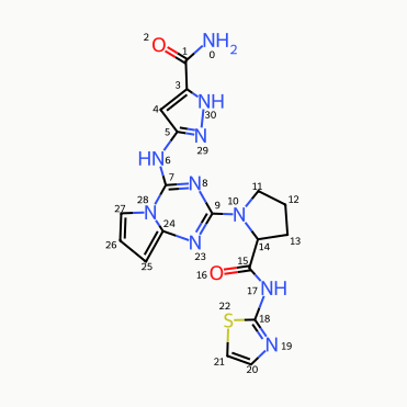 NC(=O)c1cc(Nc2nc(N3CCCC3C(=O)Nc3nccs3)nc3cccn23)n[nH]1